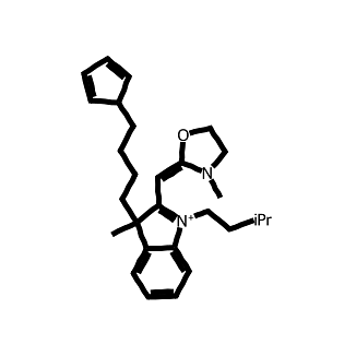 CC(C)CC[N+]1=C(/C=C2/OCCN2C)C(C)(CCCCC2C=CC=C2)c2ccccc21